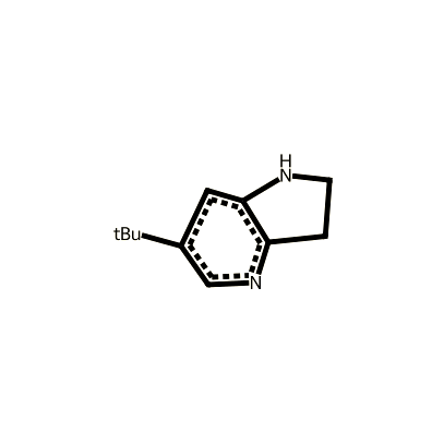 CC(C)(C)c1cnc2c(c1)NCC2